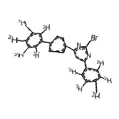 [2H]c1c([2H])c([2H])c(-c2ccc(-c3cc(-c4c([2H])c([2H])c([2H])c([2H])c4[2H])nc(Br)n3)cc2)c([2H])c1[2H]